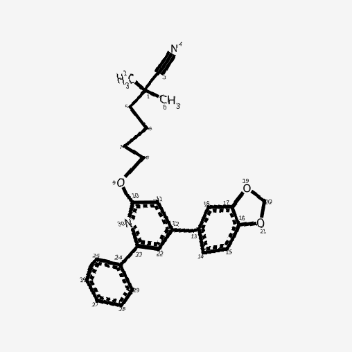 CC(C)(C#N)CCCCOc1cc(-c2ccc3c(c2)OCO3)cc(-c2ccccc2)n1